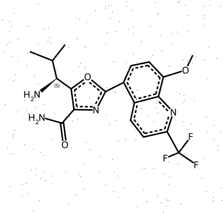 COc1ccc(-c2nc(C(N)=O)c([C@@H](N)C(C)C)o2)c2ccc(C(F)(F)F)nc12